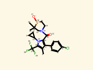 Cc1c(-c2ccc(Cl)cc2)c(C(=O)N2CC[S+]([O-])C(C)(C)C2)n(C2CC2)c1C(F)(F)F